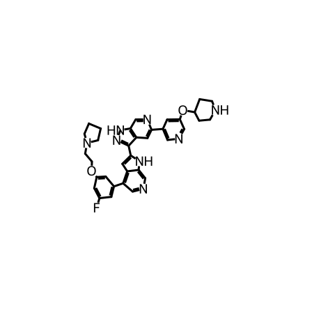 Fc1cc(OCCN2CCCC2)cc(-c2cncc3[nH]c(-c4n[nH]c5cnc(-c6cncc(OC7CCNCC7)c6)cc45)cc23)c1